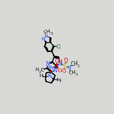 Cc1nc2c(-c3ccc4nn(C)cc4c3Cl)cn(S(=O)(=O)N(C)C)c2nc1N1[C@@H]2CC[C@H]1C[C@@H](NC(=O)O)C2